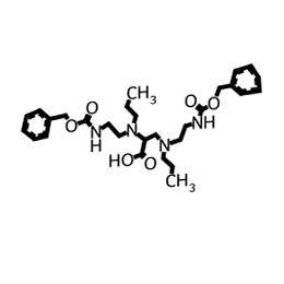 CCCN(CCNC(=O)OCc1ccccc1)CC(C(=O)O)N(CCC)CCNC(=O)OCc1ccccc1